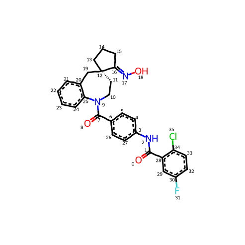 O=C(Nc1ccc(C(=O)N2CC[C@@]3(CCCC3=NO)Cc3ccccc32)cc1)c1cc(F)ccc1Cl